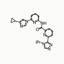 CC(C)n1cnnc1-c1cccc(C(=O)Nc2cccc(-n3cnc(C4CC4)c3)n2)n1